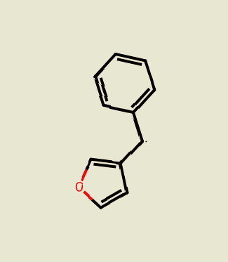 [CH](c1ccccc1)c1ccoc1